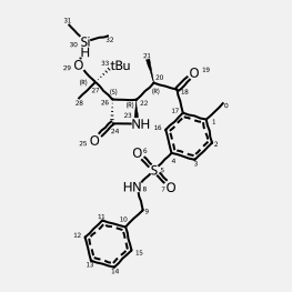 Cc1ccc(S(=O)(=O)NCc2ccccc2)cc1C(=O)[C@H](C)[C@H]1NC(=O)[C@@H]1[C@@](C)(O[SiH](C)C)C(C)(C)C